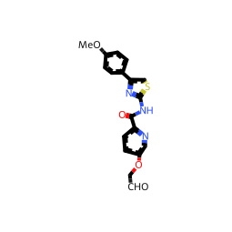 COc1ccc(-c2csc(NC(=O)c3ccc(OCC=O)cn3)n2)cc1